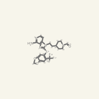 Nc1nccc2c1nc(Sc1cc3c(cc1C(F)(F)F)OCO3)n2CCC1CCN(C=O)CC1